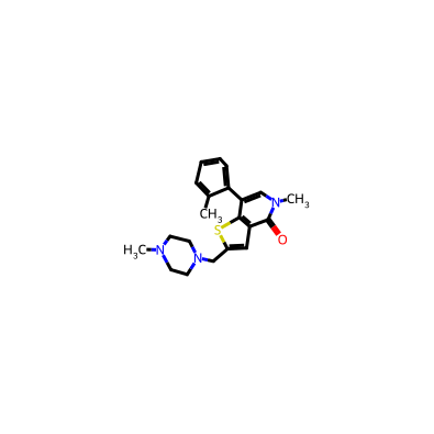 Cc1ccccc1-c1cn(C)c(=O)c2cc(CN3CCN(C)CC3)sc12